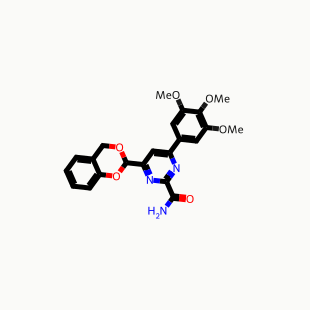 COc1cc(-c2cc(C3OCc4ccccc4O3)nc(C(N)=O)n2)cc(OC)c1OC